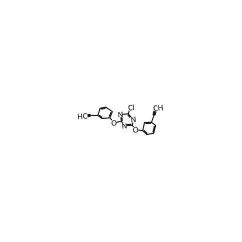 C#Cc1cccc(Oc2nc(Cl)nc(Oc3cccc(C#C)c3)n2)c1